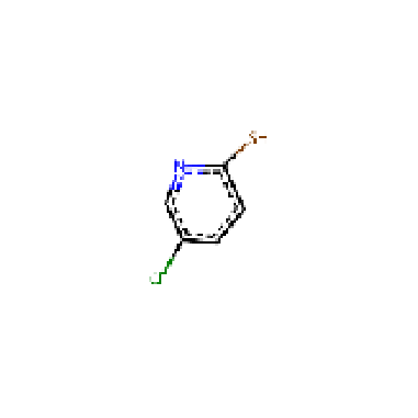 Sc1ccc(Cl)cn1